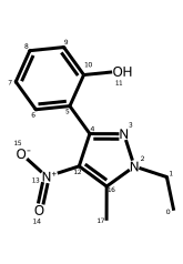 CCn1nc(-c2ccccc2O)c([N+](=O)[O-])c1C